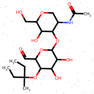 CCC(C)(CC)OC1C(C=O)OC(OC2C(NC(C)=O)COC(CO)C2O)C(O)C1O